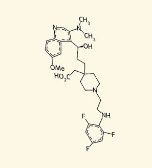 COc1ccc2ncc(N(C)C)c([C@@H](O)CCC3(CC(=O)O)CCN(CCNc4c(F)cc(F)cc4F)CC3)c2c1